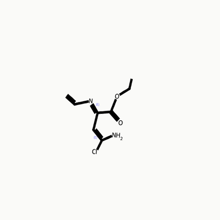 C=C/N=C(\C=C(/N)Cl)C(=O)OCC